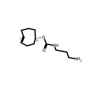 NCCCNC(=O)O[C@@H]1CC/C=C/CCC1